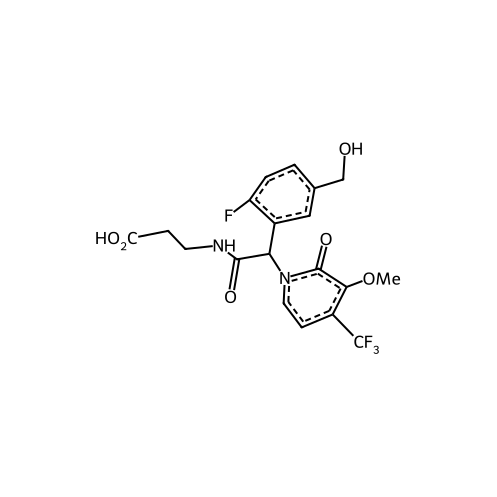 COc1c(C(F)(F)F)ccn(C(C(=O)NCCC(=O)O)c2cc(CO)ccc2F)c1=O